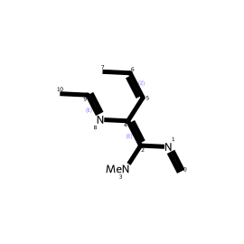 C=N/C(NC)=C(\C=C/C)/N=C/C